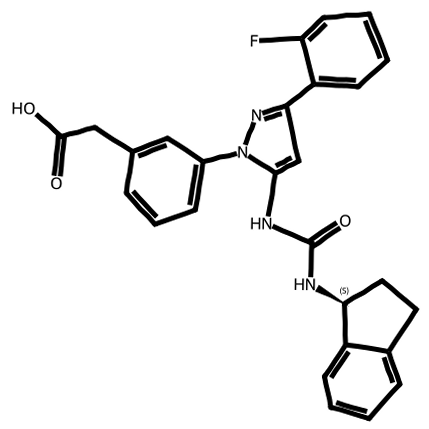 O=C(O)Cc1cccc(-n2nc(-c3ccccc3F)cc2NC(=O)N[C@H]2CCc3ccccc32)c1